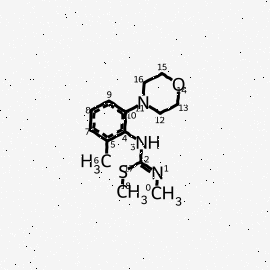 C/N=C(/Nc1c(C)cccc1N1CCOCC1)SC